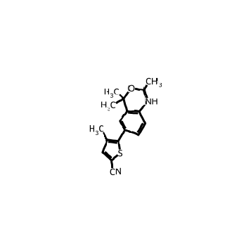 Cc1cc(C#N)sc1-c1ccc2c(c1)C(C)(C)OC(C)N2